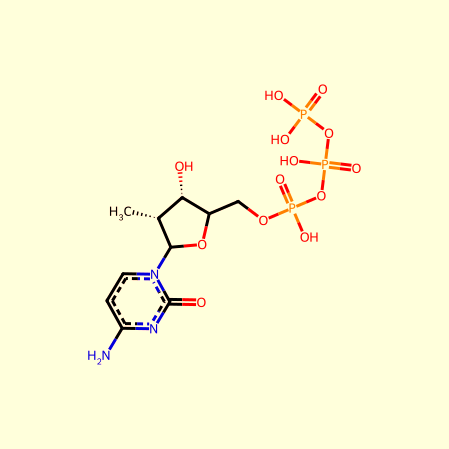 C[C@H]1C(n2ccc(N)nc2=O)OC(COP(=O)(O)OP(=O)(O)OP(=O)(O)O)[C@H]1O